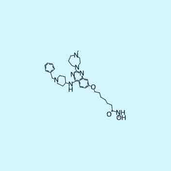 CN1CCCN(c2nc(NC3CCN(Cc4ccccc4)CC3)c3ccc(OCCCCCCC(=O)NO)cc3n2)CC1